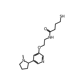 CN1CCCC1c1cncc(OCCNC(=O)CCCS)c1